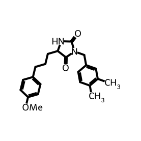 COc1ccc(CCCC2NC(=O)N(Cc3ccc(C)c(C)c3)C2=O)cc1